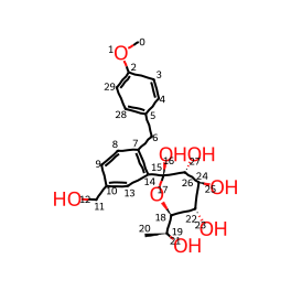 COc1ccc(Cc2ccc(CO)cc2[C@@]2(O)O[C@H]([C@H](C)O)[C@@H](O)[C@H](O)[C@H]2O)cc1